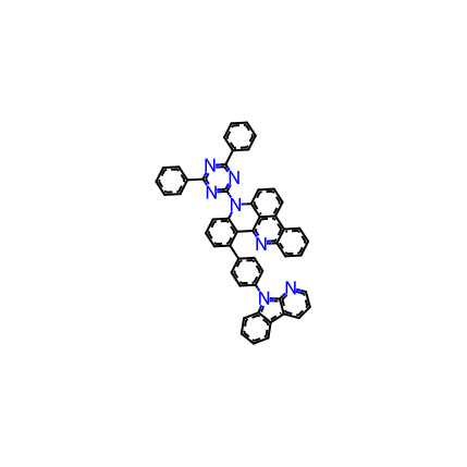 c1ccc(-c2nc(-c3ccccc3)nc(N3c4cccc(-c5ccc(-n6c7ccccc7c7cccnc76)cc5)c4-c4nc5ccccc5c5cccc3c45)n2)cc1